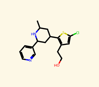 CC1CC(c2sc(Cl)cc2CCO)CC(c2cccnc2)N1